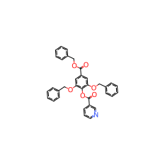 O=C(OCc1ccccc1)c1cc(OCc2ccccc2)c(OC(=O)c2cccnc2)c(OCc2ccccc2)c1